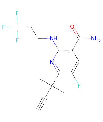 C#CC(C)(C)c1nc(NCCC(F)(F)F)c(C(N)=O)cc1F